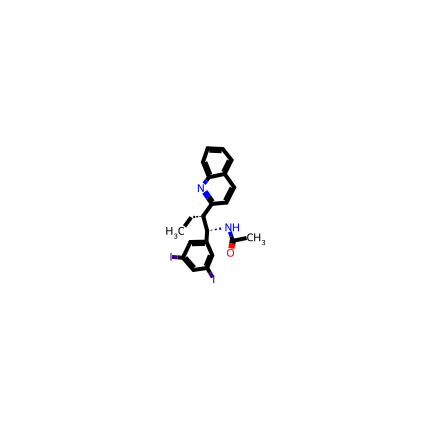 CC[C@H](c1ccc2ccccc2n1)[C@H](NC(C)=O)c1cc(I)cc(I)c1